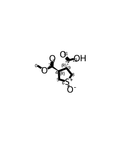 COC(=O)[C@@H]1C[S+]([O-])C[C@H]1C(=O)O